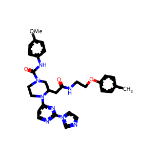 COc1ccc(NC(=O)N2CCN(c3ccnc(-n4ccnc4)n3)C(CC(=O)NCCOc3ccc(C)cc3)C2)cc1